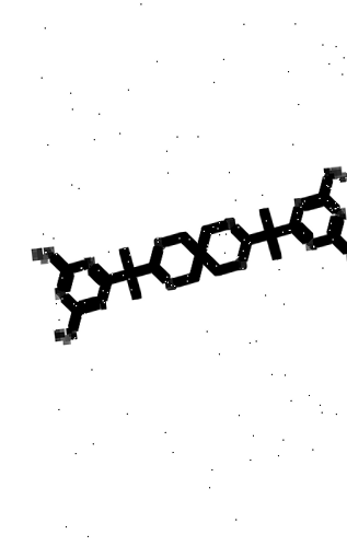 CC(C)(c1nc(N)nc(N)n1)C1OCC2(CO1)COC(C(C)(C)c1nc(N)nc(N)n1)OC2